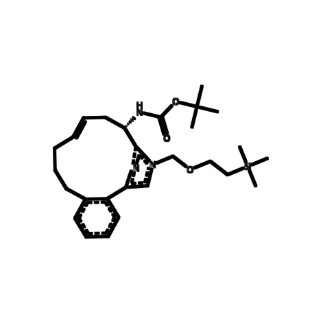 CC(C)(C)OC(=O)N[C@H]1C/C=C/CCCc2ccccc2-c2cn(COCC[Si](C)(C)C)c1n2